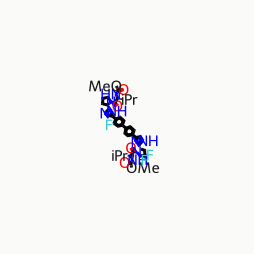 COC(=O)N[C@H](C(=O)N1CC(F)(F)C[C@H]1c1nc(-c2ccc(-c3ccc(-c4cnc([C@@H]5CCCN5C(=O)[C@@H](NC(=O)OC)C(C)C)[nH]4)c(F)c3)cc2)c[nH]1)C(C)C